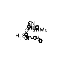 CNC.Cc1cc(OCc2ccc(C#N)cc2)cc2c(CCC3CCN(Cc4ccccc4)CC3)noc12.Cl.Cl